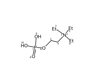 CC[N+](CC)(CC)CCOP(=O)(O)O